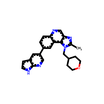 Cc1nc2cnc3ccc(-c4cnc5[nH]ccc5c4)cc3c2n1CC1CCOCC1